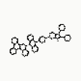 c1ccc(-c2sc3cc(-c4ccc(-c5c6ccccc6c(-c6cc7c8ccccc8c8ccccc8c7c7ccccc67)c6ccccc56)cc4)ccc3c2-c2ccccc2)cc1